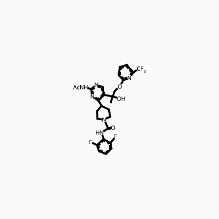 CC(=O)Nc1ncc(C(C)(O)COc2cccc(C(F)(F)F)n2)c(C2CCN(C(=O)Nc3c(F)cccc3F)CC2)n1